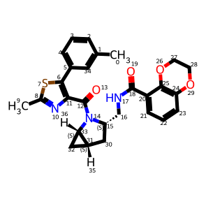 Cc1cccc(-c2sc(C)nc2C(=O)N2[C@H](CNC(=O)c3cccc4c3OCCO4)C[C@@H]3C[C@@H]32)c1